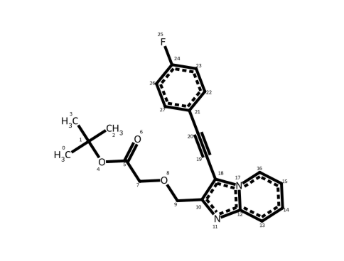 CC(C)(C)OC(=O)COCc1nc2ccccn2c1C#Cc1ccc(F)cc1